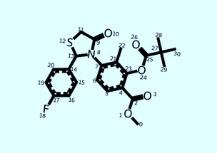 COC(=O)c1ccc(N2C(=O)CSC2c2ccc(F)cc2)c(C)c1OC(=O)C(C)(C)C